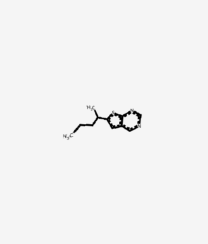 CCCC(C)c1cc2cncnc2s1